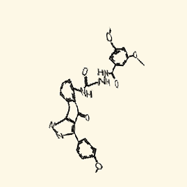 COc1ccc(C2=C3C(=O)c4c(NC(=O)NNC(=O)c5cc(OC)cc(OC)c5)cccc4C3N=N2)cc1